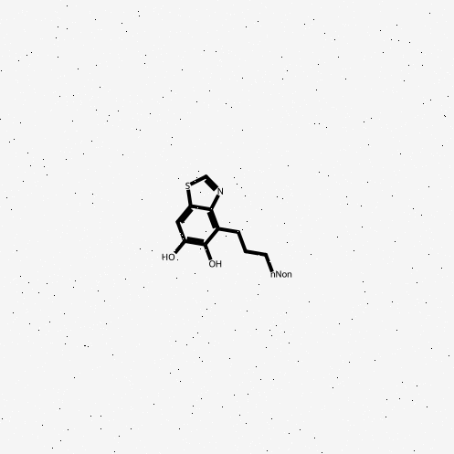 CCCCCCCCCCCCc1c(O)c(O)cc2scnc12